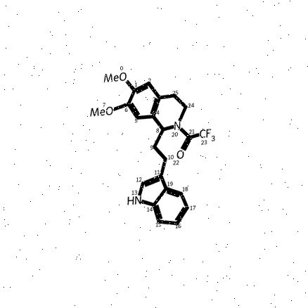 COc1cc2c(cc1OC)C(CCc1c[nH]c3ccccc13)N(C(=O)C(F)(F)F)CC2